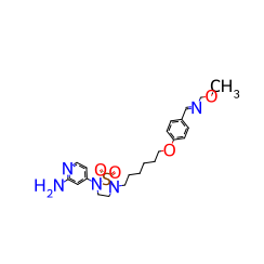 COC/N=C/c1ccc(OCCCCCCN2CCN(c3ccnc(N)c3)S2(=O)=O)cc1